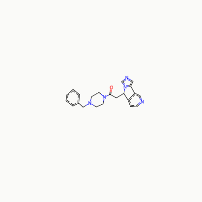 O=C(CC1c2ccncc2-c2cncn21)N1CCN(Cc2ccccc2)CC1